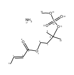 CC=CC(=O)OCCC(C)(C)OS(=O)(=O)OC.N